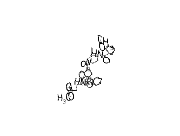 COC(=O)CCCNC(=O)[C@@]1(c2ccccc2)CC[C@H](C(=O)N2CCC(NC(=O)c3ccccc3OC)CC2)c2ccccc21